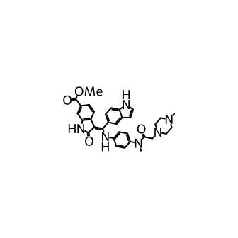 COC(=O)c1ccc2c(c1)NC(=O)/C2=C(\Nc1ccc(N(C)C(=O)CN2CCN(C)CC2)cc1)c1ccc2[nH]ccc2c1